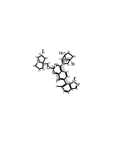 Cc1ccc2cnn(C)c2c1-c1ccc2c(N3C[C@H]4CC[C@@H](C3)N4)nc(OC[C@@]34CCCN3C[C@H](F)C4)nc2c1F